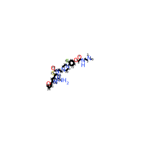 CN(C)CCNC(=O)COc1ccc(N2CCN(CCn3c(=O)sc4c3nc(N)n3nc(-c5ccco5)cc43)CC2)c(F)c1